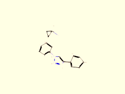 CC[C@@]1(N)C[C@H]1c1cccc(-n2cc(-c3ccccc3)nn2)c1